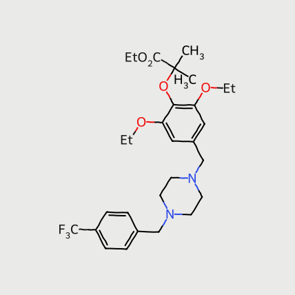 CCOC(=O)C(C)(C)Oc1c(OCC)cc(CN2CCN(Cc3ccc(C(F)(F)F)cc3)CC2)cc1OCC